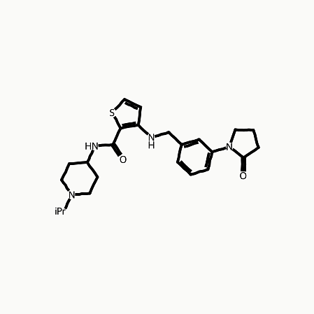 CC(C)N1CCC(NC(=O)c2sccc2NCc2cccc(N3CCCC3=O)c2)CC1